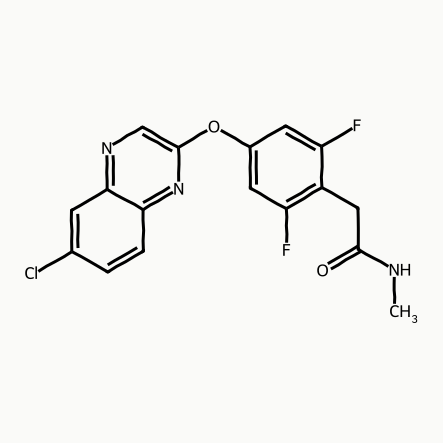 CNC(=O)Cc1c(F)cc(Oc2cnc3cc(Cl)ccc3n2)cc1F